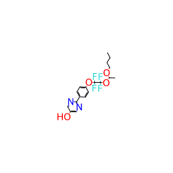 CCCCOC(C)OC(F)(F)C(F)(F)Oc1ccc(-c2ncc(O)cn2)cc1